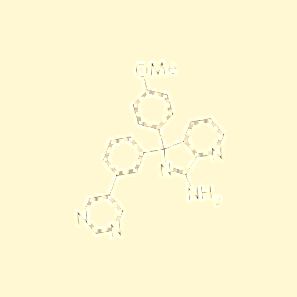 COc1ccc(C2(c3cccc(-c4cncnc4)c3)N=C(N)c3ncccc32)cc1